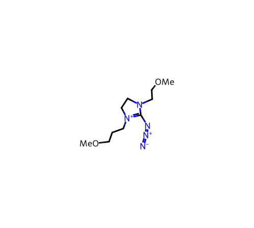 COCCC[N+]1=C(N=[N+]=[N-])N(CCOC)CC1